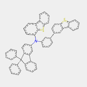 c1ccc(C2(c3ccccc3)c3ccccc3-c3cc(N(c4cccc(-c5ccc6sc7ccccc7c6c5)c4)c4cccc5c4sc4ccccc45)ccc32)cc1